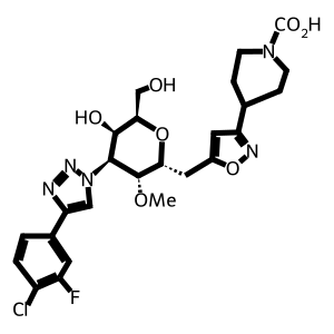 CO[C@@H]1[C@@H](n2cc(-c3ccc(Cl)c(F)c3)nn2)[C@@H](O)[C@@H](CO)O[C@@H]1Cc1cc(C2CCN(C(=O)O)CC2)no1